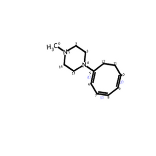 CN1CCN(/C2=C/C=C\C=C/CC2)CC1